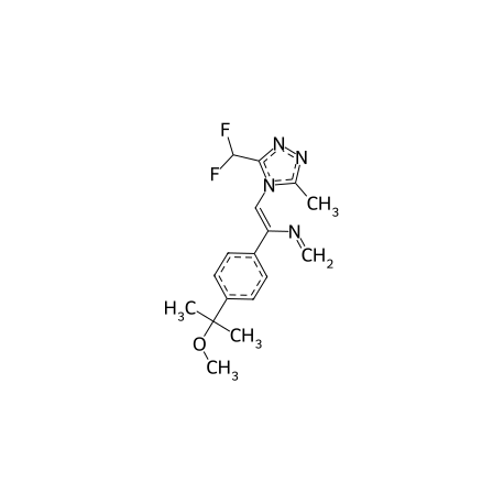 C=N/C(=C\n1c(C)nnc1C(F)F)c1ccc(C(C)(C)OC)cc1